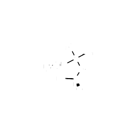 CCCS(CCC)(CCC)O[PH](=O)O.[MgH2]